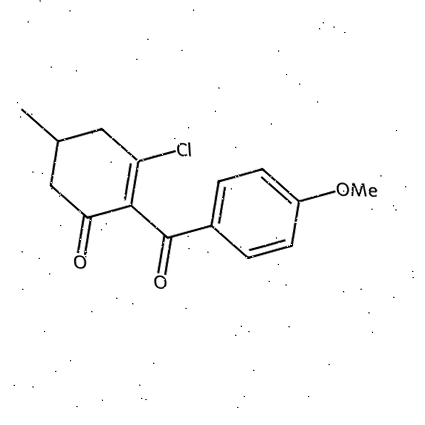 COc1ccc(C(=O)C2=C(Cl)CC(C)CC2=O)cc1